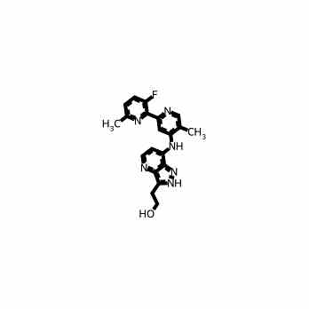 Cc1ccc(F)c(-c2cc(Nc3ccnc4c(CCO)[nH]nc34)c(C)cn2)n1